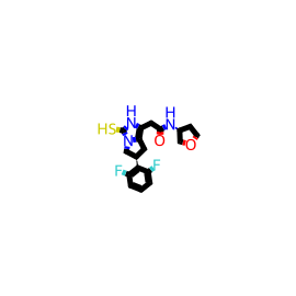 O=C(CC1=C2C[C@H](c3c(F)cccc3F)CN2C(S)N1)N[C@@H]1CCOC1